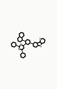 c1ccc(-c2cc(-c3cc(-c4ccc5sc6cccnc6c5c4)ccc3-c3cccc4ccccc34)nc(-c3ccccc3)n2)cc1